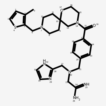 Cc1ccsc1CN1CCC2(CC1)CN(C(=O)c1ccc(CN(CC(=N)N)Cc3ncc[nH]3)cc1)CCO2